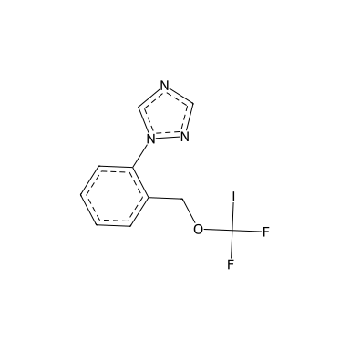 FC(F)(I)OCc1ccccc1-n1cncn1